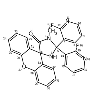 CN1C(=O)C2(NC1(c1cccnc1F)c1cccnc1F)c1ccccc1Oc1ccccc12